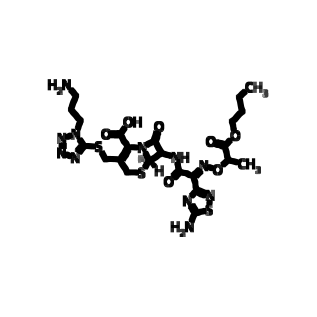 CCCCOC(=O)C(C)ON=C(C(=O)NC1C(=O)N2C(C(=O)O)=C(CSc3nnnn3CCCN)CS[C@@H]12)c1nsc(N)n1